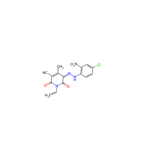 C=CN1C(=O)C(C#N)=C(C)/C(=N/Nc2ccc(Cl)cc2[N+](=O)[O-])C1=O